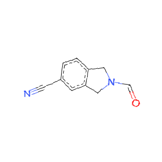 N#Cc1ccc2c(c1)CN(C=O)C2